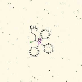 CCCC(F)[PH](c1ccccc1)(c1ccccc1)c1ccccc1